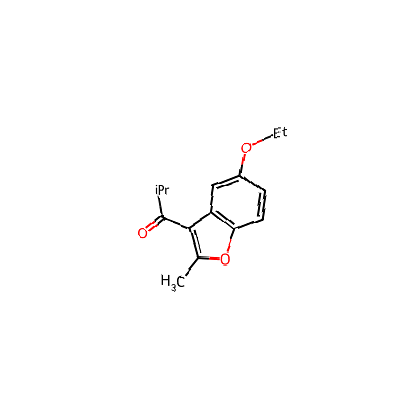 CCOc1ccc2oc(C)c(C(=O)C(C)C)c2c1